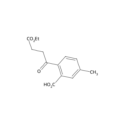 CCOC(=O)CCC(=O)c1ccc(C)cc1C(=O)O